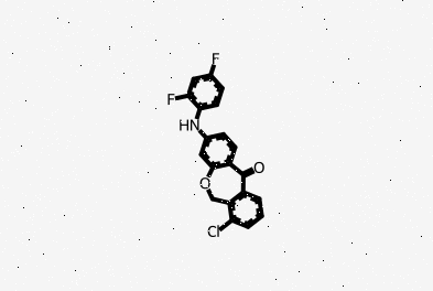 O=C1c2ccc(Nc3ccc(F)cc3F)cc2OCc2c(Cl)cccc21